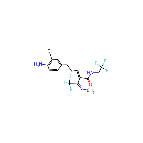 C/N=C(\C(=C/CCc1ccc(N)c(C)c1)C(=O)NCC(F)(F)F)C(F)(F)F